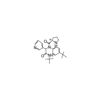 CC(C)(C)NC(=O)C(c1cccnc1)N(C(=O)[C@H]1CCCN1)c1ccc(C(C)(C)C)cc1